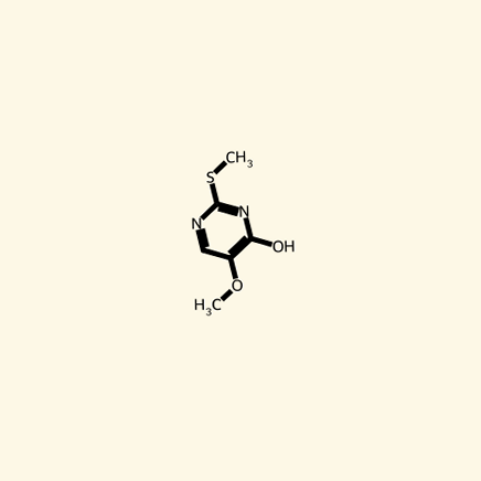 COc1cnc(SC)nc1O